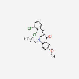 [2H]COc1ccc2c(c1)c(=O)c(Cc1cccc(Cl)c1Cl)cn2CC(=O)O